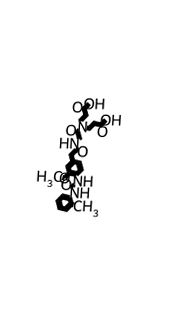 COc1cc(CC(=O)NCC(=O)N(CCC(=O)O)CCC(=O)O)ccc1NC(=O)Nc1ccccc1C